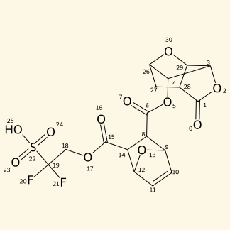 O=C1OC2C(OC(=O)C3C4C=CC(O4)C3C(=O)OCC(F)(F)S(=O)(=O)O)C3CC1C2O3